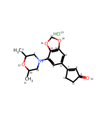 CC1CN(c2cc(C3=CC(=O)CC3)cc3c2OCO3)CC(C)O1.Cl